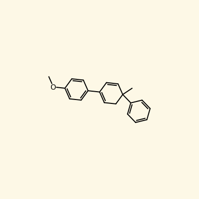 COc1ccc(C2=CCC(C)(c3ccccc3)C=C2)cc1